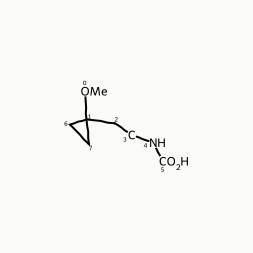 COC1(CCNC(=O)O)CC1